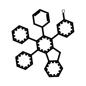 Clc1cccc(-c2c3c(c(-c4ccccc4)c(-c4ccccc4)c2C2C=CC=CC2)-c2ccccc2C3)c1